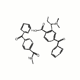 CCC(c1cc(C(=O)c2ccccc2)ccc1C(=O)O)N(C)C.CNC(=O)c1ccc(C(=O)c2ccccc2)cc1